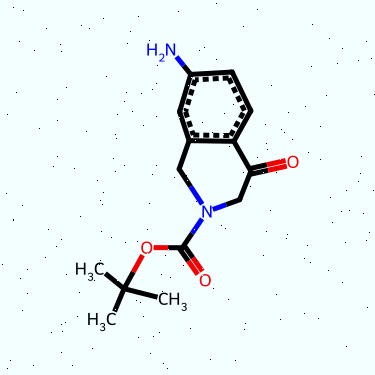 CC(C)(C)OC(=O)N1CC(=O)c2ccc(N)cc2C1